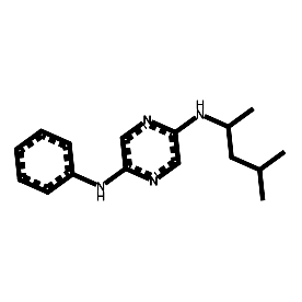 CC(C)CC(C)Nc1cnc(Nc2ccccc2)cn1